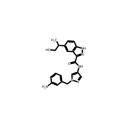 CC(CO)c1ccc2[nH]nc(C(=O)Nc3cnn(Cc4cccc(N)c4)c3)c2c1